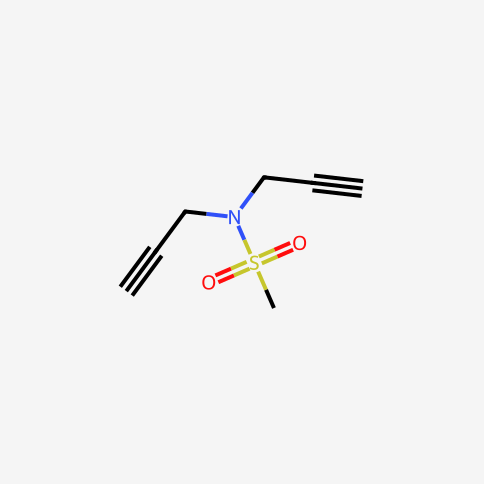 C#CCN(CC#C)S(C)(=O)=O